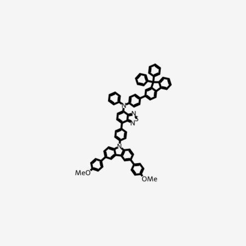 COc1ccc(-c2ccc3c(c2)c2cc(-c4ccc(OC)cc4)ccc2n3-c2ccc(-c3ccc(N(c4ccccc4)c4ccc(-c5ccc6c(c5)C(c5ccccc5)(c5ccccc5)c5ccccc5-6)cc4)c4nsnc34)cc2)cc1